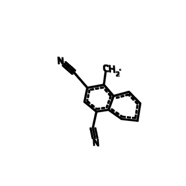 [CH2]c1c(C#N)cc(C#N)c2ccccc12